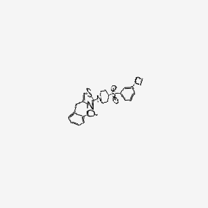 COc1ccccc1Cc1csc(N2CCC(S(=O)(=O)c3cccc(Cl)c3)CC2)n1